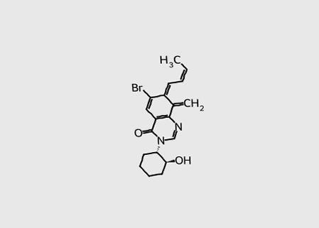 C=c1/c(=C\C=C/C)c(Br)cc2c(=O)n([C@H]3CCCC[C@@H]3O)cnc12